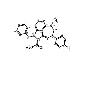 COC(=O)[C@@H]1C2=CC(c3ccc(Cl)cc3)CN(C)c3cccc(c32)N1Cc1ccccc1